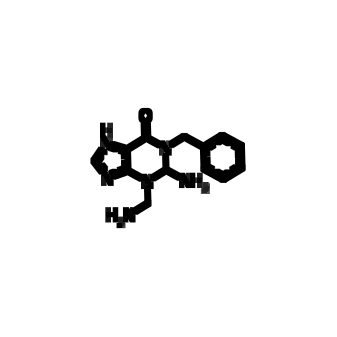 NCN1c2nc[nH]c2C(=O)N(Cc2ccccc2)C1N